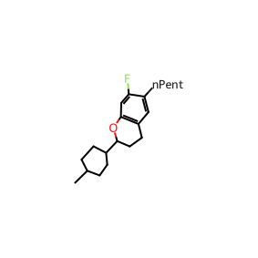 CCCCCc1cc2c(cc1F)OC(C1CCC(C)CC1)CC2